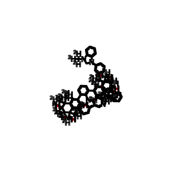 [2H]c1c([2H])c2c(c([2H])c1-c1cccc(-c3c([2H])c([2H])c4c(c3[2H])C(C([2H])([2H])[2H])(C([2H])([2H])[2H])C([2H])([2H])C([2H])([2H])C4(C([2H])([2H])[2H])C([2H])([2H])[2H])c1-n1c3ccccc3c3cnc(-n4c5ccccc5c5ccc(Oc6cccc(N7CN(C([2H])([2H])[2H])c8ccccc87)c6)cc54)cc31)C(C([2H])([2H])[2H])(C([2H])([2H])[2H])C([2H])([2H])C([2H])([2H])C2(C([2H])([2H])[2H])C([2H])([2H])[2H]